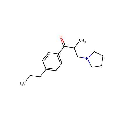 CCCc1ccc(C(=O)C(C)CN2CCCC2)cc1